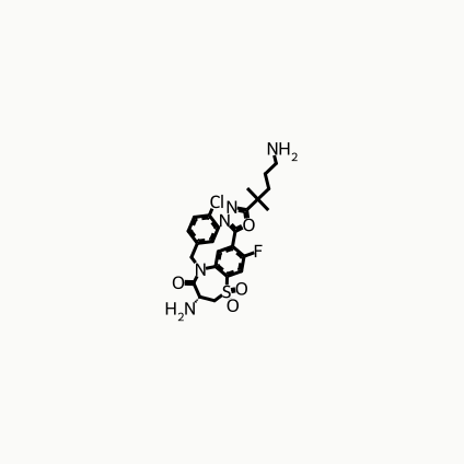 CC(C)(CCCN)c1nnc(-c2cc3c(cc2F)S(=O)(=O)C[C@H](N)C(=O)N3Cc2ccc(Cl)cc2)o1